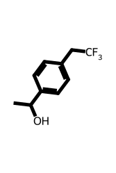 CC(O)c1ccc(CC(F)(F)F)cc1